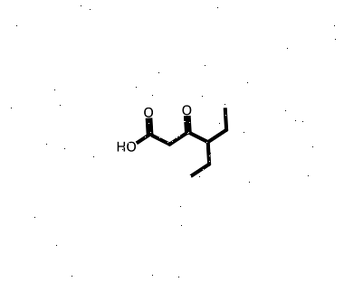 CCC(CC)C(=O)CC(=O)O